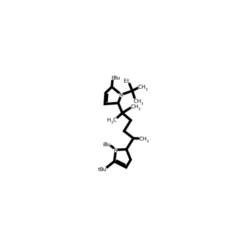 CCC(C)N1C(C(C)(C)C)=CCC1C(C)CCC(C)(C)C1C=CC(C(C)(C)C)N1C(C)(C)CC